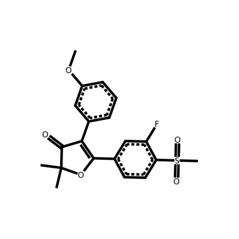 COc1cccc(C2=C(c3ccc(S(C)(=O)=O)c(F)c3)OC(C)(C)C2=O)c1